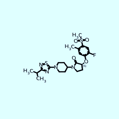 Cc1cc(O[C@H]2CCN(C3CCN(c4nc(C(C)C)ns4)CC3)C2=O)c(F)cc1S(C)(=O)=O